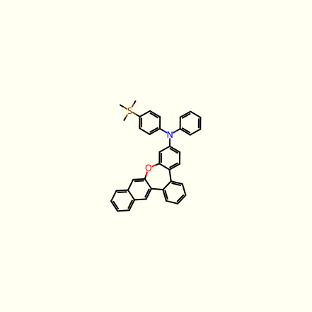 CS(C)(C)c1ccc(N(c2ccccc2)c2ccc3c(c2)Oc2cc4ccccc4cc2-c2ccccc2-3)cc1